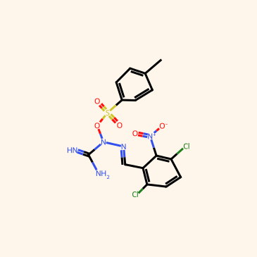 Cc1ccc(S(=O)(=O)ON(N=Cc2c(Cl)ccc(Cl)c2[N+](=O)[O-])C(=N)N)cc1